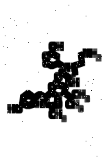 CC(=O)N[C@@H](Cc1ccc(O)cc1)C(=O)N[C@H](C(=O)N[C@@H](CCCCN)C(=O)N[C@H](C=O)CC(=O)O)C(C)C